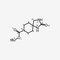 CC(C)(C)OC(=O)N1CCC2(CC1)CNC(=O)N2